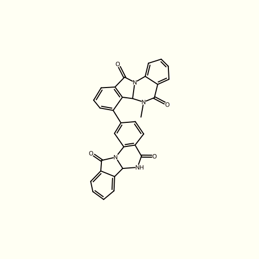 CN1C(=O)c2ccccc2N2C(=O)c3cccc(-c4ccc5c(c4)N4C(=O)c6ccccc6C4NC5=O)c3C12